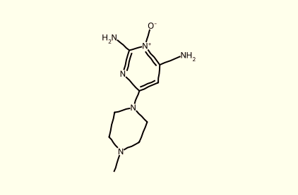 CN1CCN(c2cc(N)[n+]([O-])c(N)n2)CC1